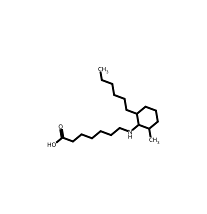 CCCCCCC1CCCC(C)C1NCCCCCCC(=O)O